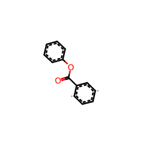 O=C(Oc1ccccc1)c1[c]cc[c]c1